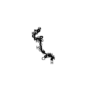 CCOc1cc(OC)ccc1CNCC(=O)N1CCCC(c2cccc(C(=O)N[C@@H](C(=O)NCCOCCNCC(=O)N3CCN(CC[C@H](NC(=O)C4(N)CCN(c5ncnc6[nH]ccc56)CC4)c4ccc(Cl)cc4)CC3)C3CCCCC3)c2)C1